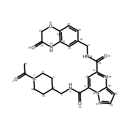 CC(=O)N1CCC(CNC(=O)c2cc(C(=O)NCc3ccc4c(c3)NC(=O)CO4)nc3ccnn23)CC1